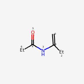 C=C(CC)NC(=O)CC